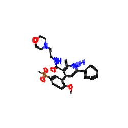 COc1ccc(S(C)(=O)=O)cc1C1C=C(c2ccccc2)NC(C)=C1C(=O)NCCN1CCOCC1